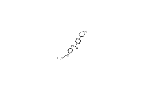 NCCOc1ccc(NC(=O)c2ccc(C3=CCNCC3)cc2)cc1